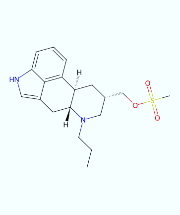 CCCN1C[C@@H](COS(C)(=O)=O)C[C@@H]2c3cccc4[nH]cc(c34)C[C@H]21